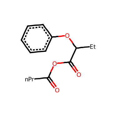 CCCC(=O)OC(=O)C(CC)Oc1ccccc1